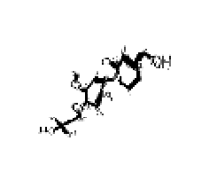 COc1cc(-n2ccc(CO)cc2=O)ccc1OCC(C)(C)O